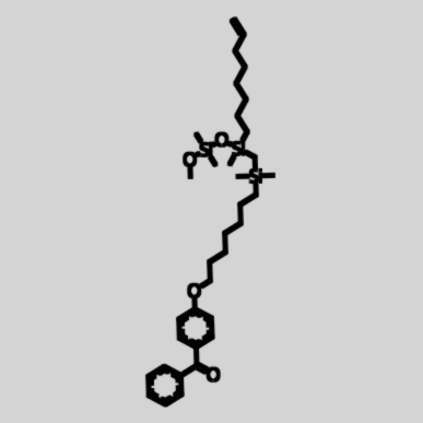 C=CCCCCCC[Si](C)(C[Si](C)(C)CCCCCCCOc1ccc(C(=O)c2ccccc2)cc1)O[Si](C)(C)OC